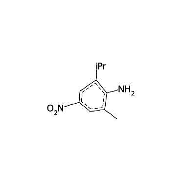 Cc1cc([N+](=O)[O-])cc(C(C)C)c1N